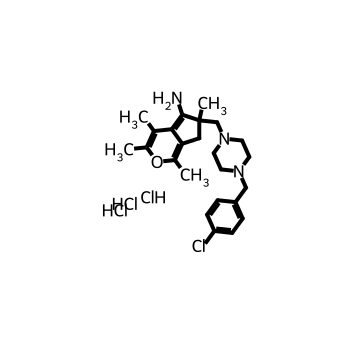 CC1=C(C)C2=C(N)C(C)(CN3CCN(Cc4ccc(Cl)cc4)CC3)CC2=C(C)O1.Cl.Cl.Cl